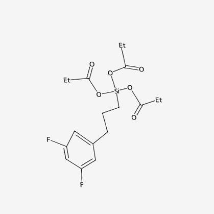 CCC(=O)O[Si](CCCc1cc(F)cc(F)c1)(OC(=O)CC)OC(=O)CC